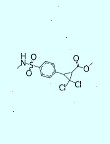 CNS(=O)(=O)c1ccc(C2C(C(=O)OC)C2(Cl)Cl)cc1